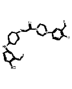 O=Nc1ccc(NC2CCC(OCC(=O)N3CCN(c4ccc(Cl)c(CF)c4)CC3)CC2)cc1CF